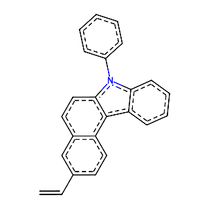 C=Cc1ccc2c(ccc3c2c2ccccc2n3-c2ccccc2)c1